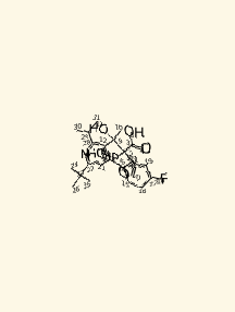 C=CC(C(=O)O)([PH](=O)O)C(C)(O)c1c(-c2ccc(F)cc2)cc(C(C)(C)C)nc1C(C)C